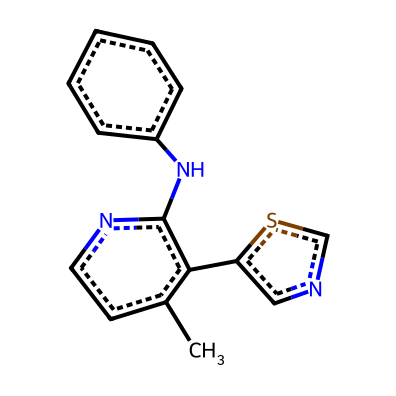 Cc1ccnc(Nc2ccccc2)c1-c1cncs1